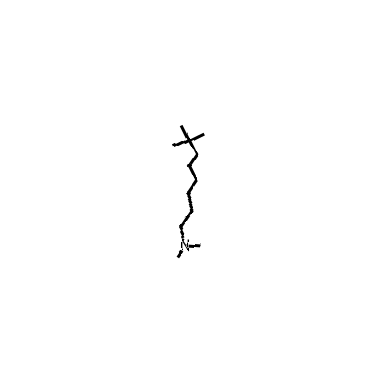 CN(C)CCCCCCC(C)(C)C